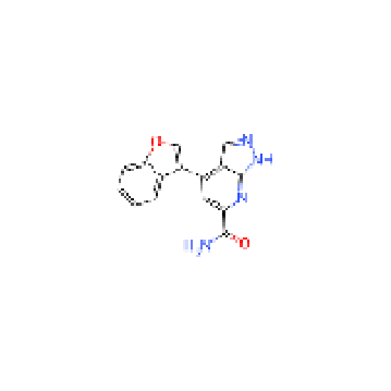 NC(=O)c1cc(-c2coc3ccccc23)c2cn[nH]c2n1